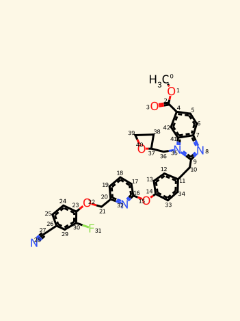 COC(=O)c1ccc2nc(Cc3ccc(Oc4cccc(COc5ccc(C#N)cc5F)n4)cc3)n(CC3CCO3)c2c1